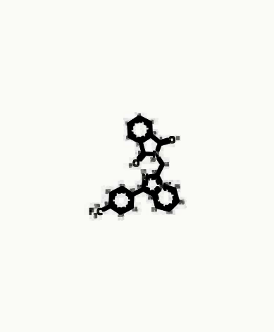 O=C1c2ccccc2C(=O)N1Cc1nc(-c2ccc(C(F)(F)F)cc2)c2ccccn12